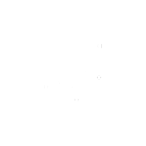 CC1C(=O)C(=O)C(=O)C1CCl